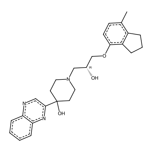 Cc1ccc(OC[C@H](O)CN2CCC(O)(c3cnc4ccccc4n3)CC2)c2c1CCC2